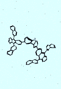 c1ccc2cc(-c3c4ccccc4c(-c4ccc5ccccc5c4)c4cc(-c5ccc6oc7ccc(-c8ccc9c(-c%10ccc%11ccccc%11c%10)c%10ccccc%10c(-c%10ccc%11ccccc%11c%10)c9c8)cc7c6c5)ccc34)ccc2c1